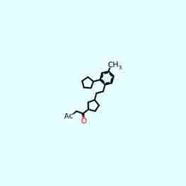 CC(=O)CC(=O)C1CCC(CCc2ccc(C)cc2C2CCCC2)C1